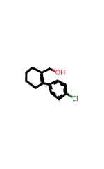 OCC1=C(c2ccc(Cl)cc2)CCCC1